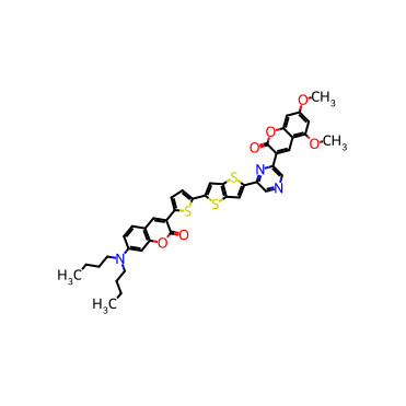 CCCCN(CCCC)c1ccc2cc(-c3ccc(-c4cc5sc(-c6cncc(-c7cc8c(OC)cc(OC)cc8oc7=O)n6)cc5s4)s3)c(=O)oc2c1